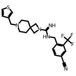 N#Cc1ccc(CNC(=N)N2CC3(CCN(Cc4ccsc4)CC3)C2)c(C(F)(F)F)c1